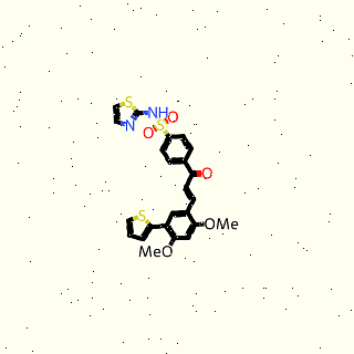 COc1cc(OC)c(-c2cccs2)cc1C=CC(=O)c1ccc(S(=O)(=O)Nc2nccs2)cc1